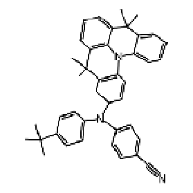 CC(C)(C)c1ccc(N(c2ccc(C#N)cc2)C2C=CC3=C(C2)C(C)(C)c2cccc4c2N3c2ccccc2C4(C)C)cc1